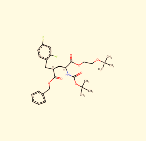 CC(C)(C)OC(=O)N[C@@H](C[C@H](Cc1ccc(F)cc1F)C(=O)OCc1ccccc1)C(=O)OCCO[Si](C)(C)C